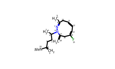 C=C(CCC(C)N1/N=C(/C)C/C=C\C=C(\F)CC1=C)NC